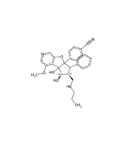 CCCNC[C@@H]1C(c2ccccc2)C2(c3ccc(C#N)cc3)Oc3cncc(OC)c3C2(O)[C@@H]1O